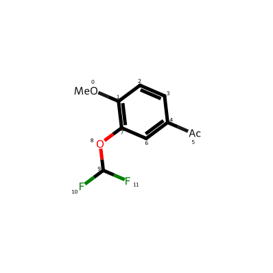 COc1ccc(C(C)=O)cc1OC(F)F